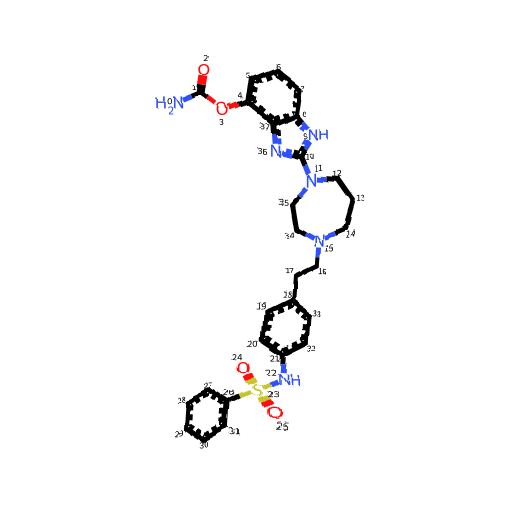 NC(=O)Oc1cccc2[nH]c(N3CCCN(CCc4ccc(NS(=O)(=O)c5ccccc5)cc4)CC3)nc12